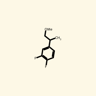 COCC(C)c1ccc(F)c(F)c1